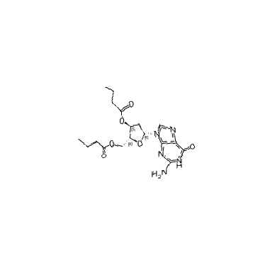 CCCC(=O)OC[C@H]1O[C@@H](n2cnc3c(=O)[nH]c(N)nc32)C[C@@H]1OC(=O)CCC